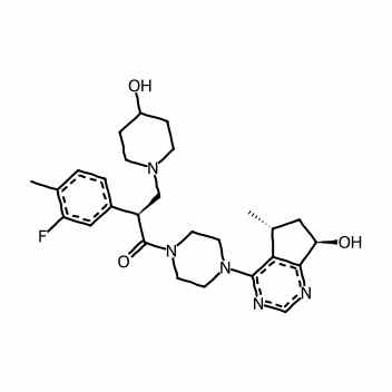 Cc1ccc([C@@H](CN2CCC(O)CC2)C(=O)N2CCN(c3ncnc4c3[C@H](C)C[C@H]4O)CC2)cc1F